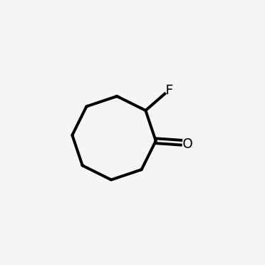 O=C1CCCCCCC1F